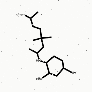 CCCCCC(C)CCC(C)(C)CC(C)NC1CCC(C(C)C)CC1CCCC